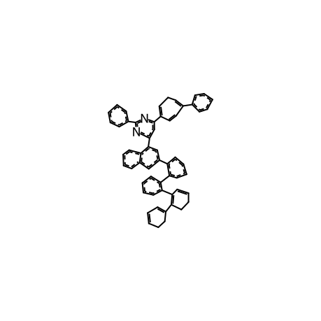 C1=CCCC(C2=C(c3ccccc3-c3ccccc3-c3cc(-c4cc(C5=CCC=C(c6ccccc6)C=C5)nc(-c5ccccc5)n4)c4ccccc4c3)C=CCC2)=C1